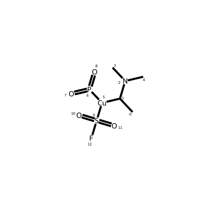 C[CH](N(C)C)[Cu]([P](=O)=O)[S](=O)(=O)F